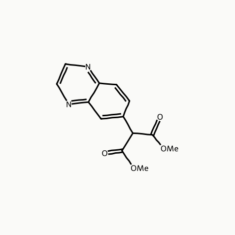 COC(=O)C(C(=O)OC)c1ccc2nccnc2c1